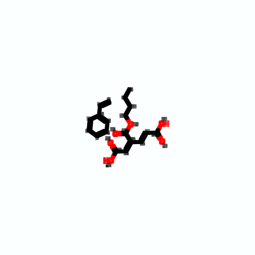 C=Cc1ccccc1.CCCCOC(=O)/C(C=CC(=O)O)=C\C(=O)O